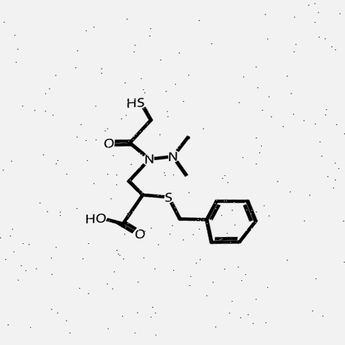 CN(C)N(CC(SCc1ccccc1)C(=O)O)C(=O)CS